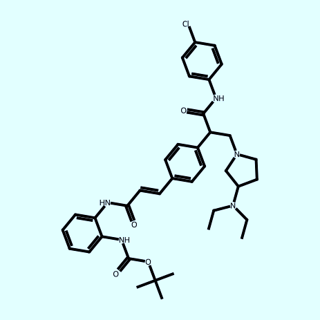 CCN(CC)C1CCN(CC(C(=O)Nc2ccc(Cl)cc2)c2ccc(C=CC(=O)Nc3ccccc3NC(=O)OC(C)(C)C)cc2)C1